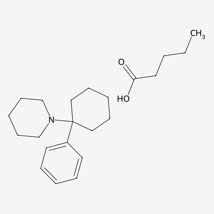 CCCCC(=O)O.c1ccc(C2(N3CCCCC3)CCCCC2)cc1